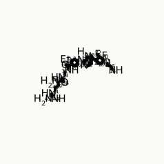 CCc1cc(Nc2nccn3c(-c4ccc(OCC=N)c(F)c4F)cnc23)ccc1C(=O)NCCNC(=O)[C@@H](N)CCCNC(=N)N